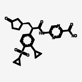 O=NC(=O)c1cnc(NC(=O)[C@H](C[C@H]2CCC(=O)C2)c2ccc(S(=O)(=O)C3CC3)c(C3CC3)c2)cn1